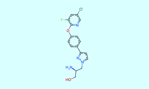 N[C@H](CO)Cn1ccc(-c2ccc(Oc3ncc(Cl)cc3F)cc2)n1